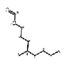 CCCCC(C)CCCOC=O